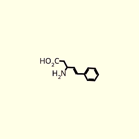 NC(C=Cc1ccccc1)CC(=O)O